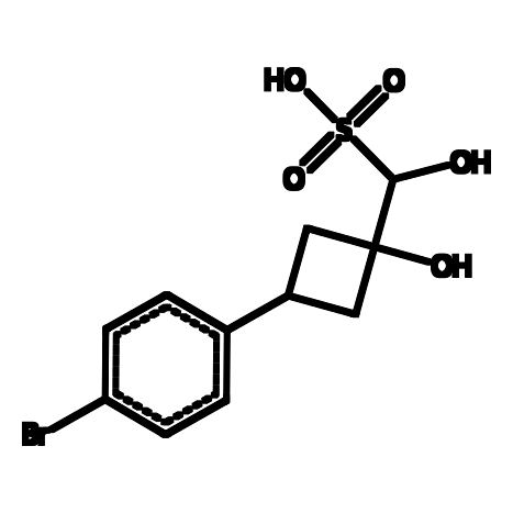 O=S(=O)(O)C(O)C1(O)CC(c2ccc(Br)cc2)C1